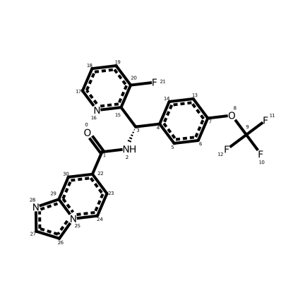 O=C(N[C@@H](c1ccc(OC(F)(F)F)cc1)c1ncccc1F)c1ccn2ccnc2c1